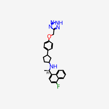 C[C@@H](NC1CCC(c2ccc(OCc3nn[nH]n3)cc2)C1)c1ccc(F)c2ccccc12